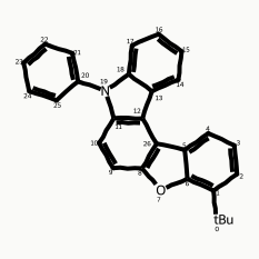 CC(C)(C)c1cccc2c1oc1ccc3c(c4ccccc4n3-c3ccccc3)c12